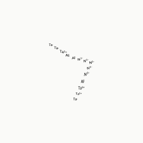 [Al].[Al].[Al].[N-3].[N-3].[N-3].[N-3].[N-3].[Ta+5].[Ta+5].[Ta+5].[Ta].[Ta].[Ta]